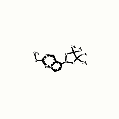 CSc1ncc2c(B3OC(C)(C)C(C)(C)O3)ccn2n1